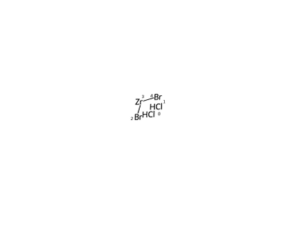 Cl.Cl.[Br][Zr][Br]